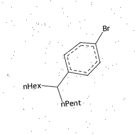 CCCCCCC(CCCCC)c1ccc(Br)cc1